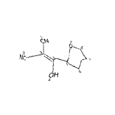 N#CC(C#N)=C(O)C1CCCO1